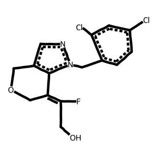 OC/C(F)=C1\COCc2cnn(Cc3ccc(Cl)cc3Cl)c21